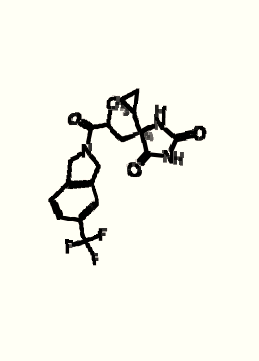 CC(C[C@@]1(C2CC2)NC(=O)NC1=O)C(=O)N1Cc2ccc(C(F)(F)F)cc2C1